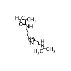 CC(C)NCCc1cn(CCCNC(=O)C(C)C)cn1